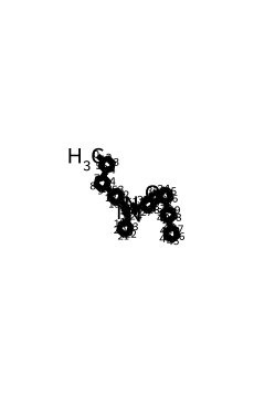 Cc1cccc(-c2cccc(-c3ccc(-c4nc(-c5ccccc5)nc(-c5ccc6c(c5)oc5cccc(-c7ccc(-c8ccccc8)cc7)c56)n4)cc3)c2)c1